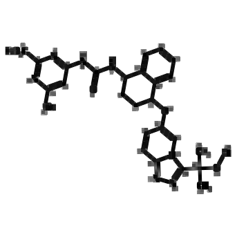 CCOC(=O)c1nc(NC(=O)NC2CCC(Oc3ccc4nnc(C(C)(C)OCC)n4c3)c3ccccc32)cc(C(C)(C)C)n1